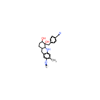 [C-]#[N+]c1cc2c(cc1C)NC1C(CCC(O)C1(O)Cc1ccc(C#N)cc1)C2